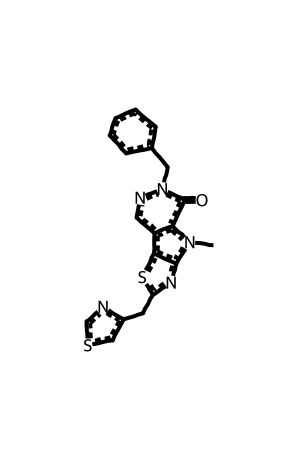 Cn1c2nc(Cc3cscn3)sc2c2cnn(Cc3ccccc3)c(=O)c21